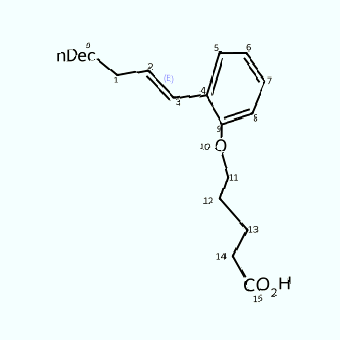 CCCCCCCCCCC/C=C/c1ccccc1OCCCCC(=O)O